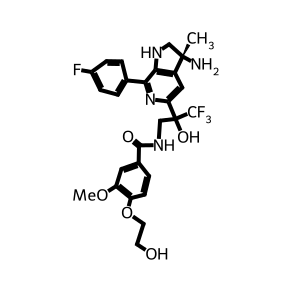 COc1cc(C(=O)NCC(O)(c2cc3c(c(-c4ccc(F)cc4)n2)NC[C@]3(C)N)C(F)(F)F)ccc1OCCO